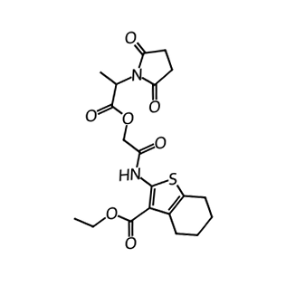 CCOC(=O)c1c(NC(=O)COC(=O)C(C)N2C(=O)CCC2=O)sc2c1CCCC2